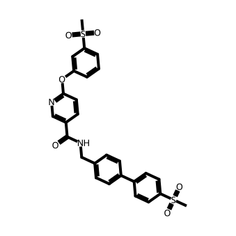 CS(=O)(=O)c1ccc(-c2ccc(CNC(=O)c3ccc(Oc4cccc(S(C)(=O)=O)c4)nc3)cc2)cc1